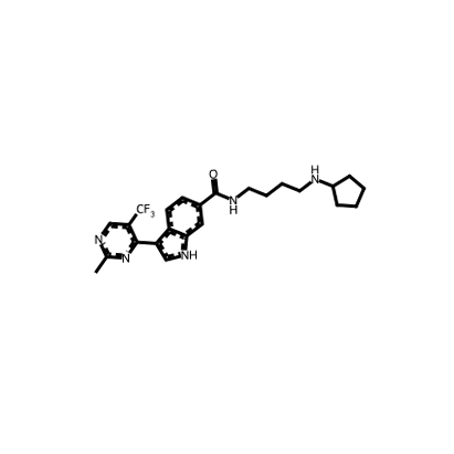 Cc1ncc(C(F)(F)F)c(-c2c[nH]c3cc(C(=O)NCCCCNC4CCCC4)ccc23)n1